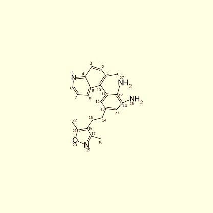 Cc1ccc2ncccc2c1-c1cc(CCc2c(C)noc2C)cc(N)c1N